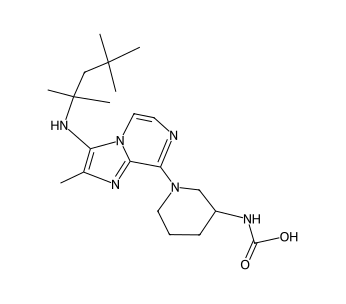 Cc1nc2c(N3CCCC(NC(=O)O)C3)nccn2c1NC(C)(C)CC(C)(C)C